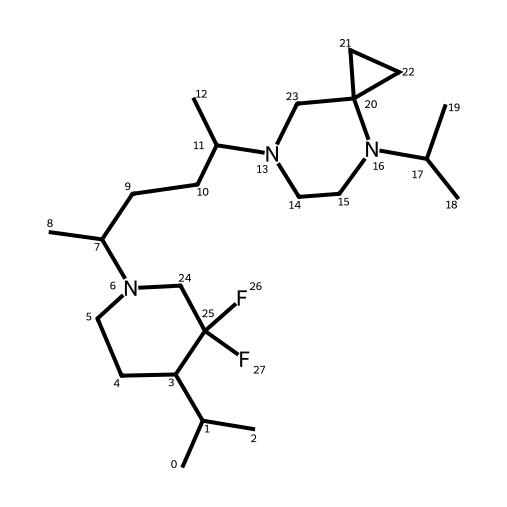 CC(C)C1CCN(C(C)CCC(C)N2CCN(C(C)C)C3(CC3)C2)CC1(F)F